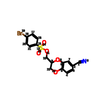 N#Cc1ccc2c(c1)OC(COS(=O)(=O)c1ccc(Br)cc1)CO2